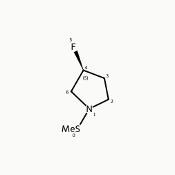 CSN1CC[C@H](F)C1